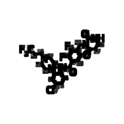 O=C(Nc1ccc(Cl)cc1N1CCN(CCC(F)(F)F)CC1)c1ccc(CN2C(=O)CCNC2=O)c(F)c1F